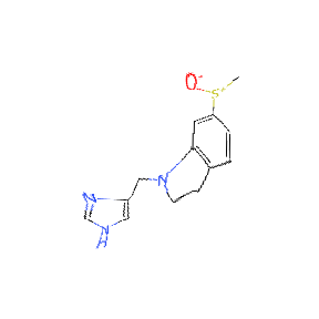 C[S+]([O-])c1ccc2c(c1)N(Cc1c[nH]cn1)CC2